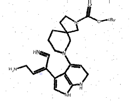 CC(C)(C)OC(=O)N1CCC2(CCCN(C3=CCNc4[nH]cc(/C(C=N)=C/CN)c43)C2)C1